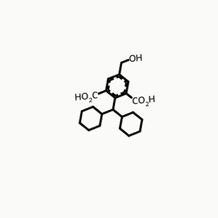 O=C(O)c1cc(CO)cc(C(=O)O)c1C(C1CCCCC1)C1CCCCC1